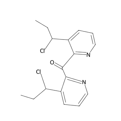 CCC(Cl)c1cccnc1C(=O)c1ncccc1C(Cl)CC